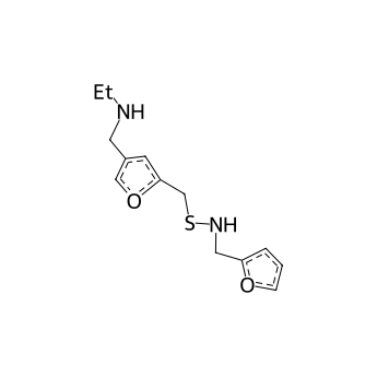 CCNCc1coc(CSNCc2ccco2)c1